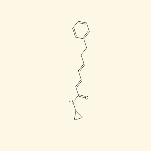 O=C(/C=C/C=C/CCc1ccccc1)NC1CC1